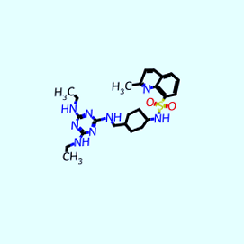 CCNc1nc(NCC)nc(NCC2CCC(NS(=O)(=O)c3cccc4ccc(C)nc34)CC2)n1